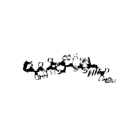 CC(C)(C)OC(=O)NCc1nnc(SCC2=C(C(=O)O)N3C(=O)C(NC(=O)C(O)c4cccs4)[C@@H]3SC2)s1